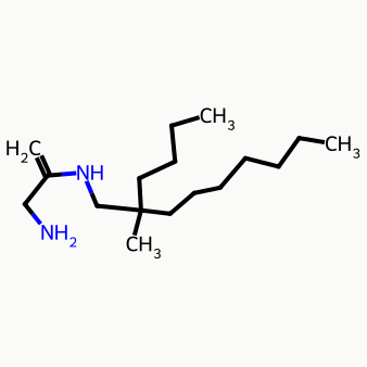 C=C(CN)NCC(C)(CCCC)CCCCCCC